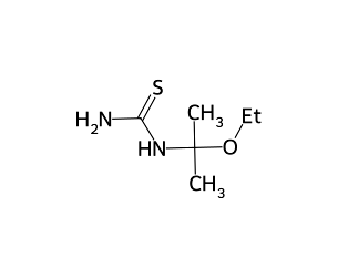 CCOC(C)(C)NC(N)=S